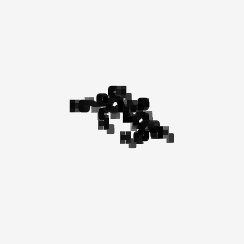 COc1cc2nc(-c3cc(C)c(OCCO)c(C)c3)[nH]c(=O)c2cc1OC